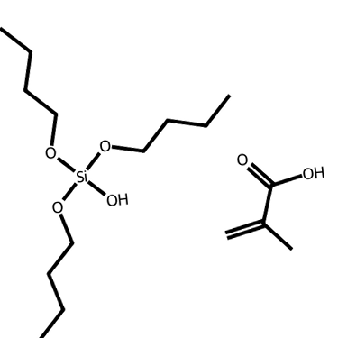 C=C(C)C(=O)O.CCCCO[Si](O)(OCCCC)OCCCC